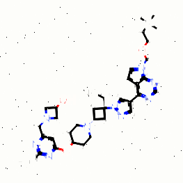 C[Si](C)(C)CCOCn1ccc2c(-c3cnn([C@]4(CC#N)C[C@@H](N5CCC(Oc6cc(CN7CC(O)C7)nc(C(F)(F)F)n6)CC5)C4)c3)ncnc21